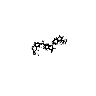 CC[C@]1(O)CCc2ccc(-n3cc(F)c4cnc(Nc5ccc6c(c5)CN(C)CC6)nc43)nc21